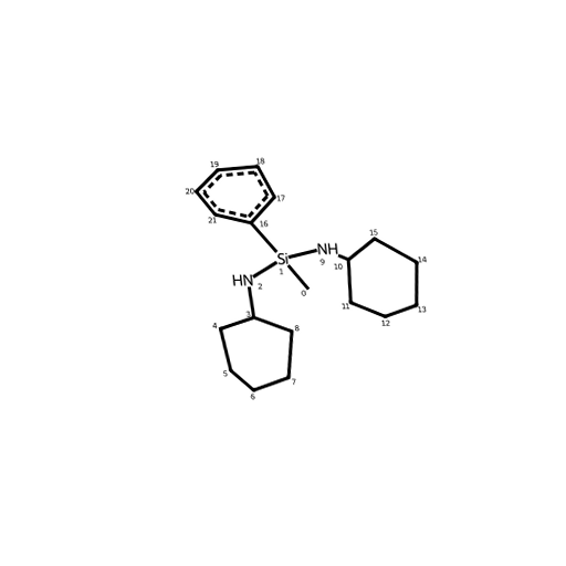 C[Si](NC1CCCCC1)(NC1CCCCC1)c1ccccc1